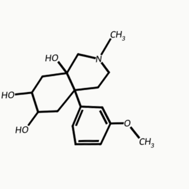 COc1cccc(C23CCN(C)CC2(O)CC(O)C(O)C3)c1